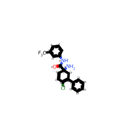 NC1(C(=O)Nc2cccc(C(F)(F)F)c2)C=CC(Cl)=C(c2ccccc2)C1